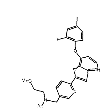 COCCN(Cc1ccc(-c2cc3nccc(Oc4ccc(C)cc4F)c3s2)nc1)C(C)=O